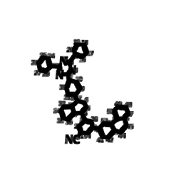 N#Cc1cc(C2=CCC(c3ccc(-c4nc(-c5ccccc5)nc(-c5ccccc5)n4)cc3)c3ccccc32)cc(-c2ccc3ccc4ccccc4c3c2)c1